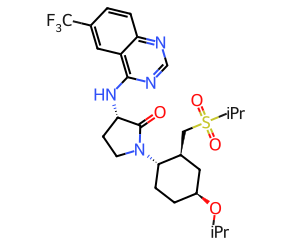 CC(C)O[C@H]1CC[C@H](N2CC[C@H](Nc3ncnc4ccc(C(F)(F)F)cc34)C2=O)[C@@H](CS(=O)(=O)C(C)C)C1